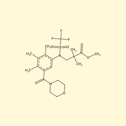 COC(=O)C(C)(C)CN(c1cc(C(=O)N2CCOCC2)c(C)c(C)c1C)S(=O)(=O)C(F)(F)F